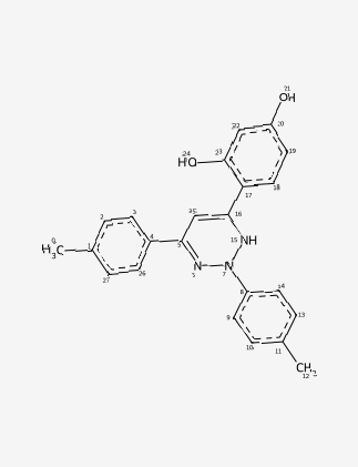 Cc1ccc(C2=NN(c3ccc(C)cc3)NC(c3ccc(O)cc3O)=C2)cc1